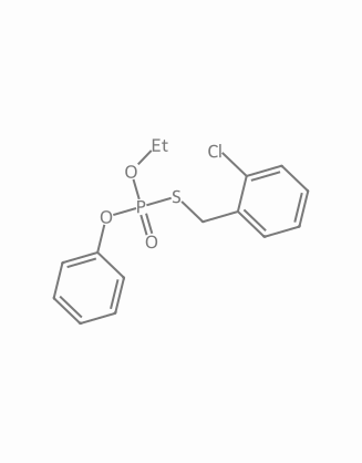 CCOP(=O)(Oc1ccccc1)SCc1ccccc1Cl